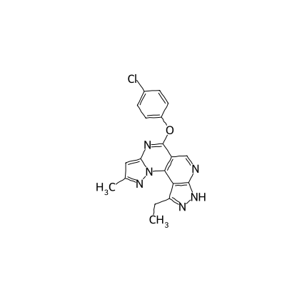 CCc1n[nH]c2ncc3c(Oc4ccc(Cl)cc4)nc4cc(C)nn4c3c12